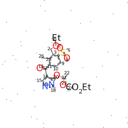 CCOCc1c(S(C)(=O)=O)ccc(C(=O)c2cnn(C)c2OC(C)OC(=O)OCC)c1C